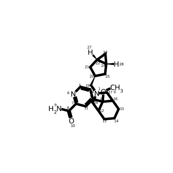 COC1(c2ccnc(C(N)=O)c2)C2CCCC1CN(C[C@H]1C[C@@H]3C[C@@H]3C1)C2